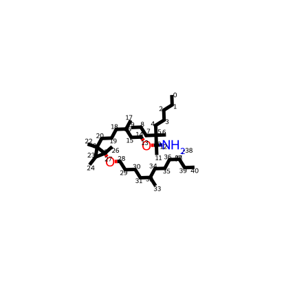 CCCCCC(C)(CCC)C(C)(N)OCCC(C)CCCC1(C)C(C)C1(C)OCCCCC(C)CCC[C@H](C)CC